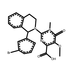 COc1c(C(=O)O)nc(N2CCc3ccccc3C2c2cccc(Br)c2)n(C)c1=O